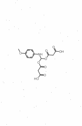 COc1ccc(NC(OC(=O)CC(=O)O)OC(=O)CC(=O)O)cc1